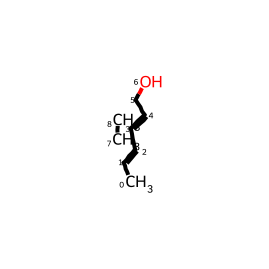 C/C=C/C=C/CO.CC